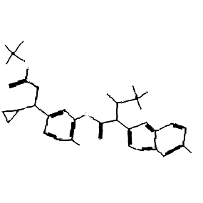 CC(C(C(=O)Nc1cc(C(CC(=O)OC(C)(C)C)C2CC2)ccc1Cl)c1ccc2cc(Cl)ccc2c1)C(F)(F)F